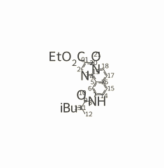 CCOC(=O)c1cnc2c3cc(NC(=O)C(C)C(C)CC)ccc3ccn2c1=O